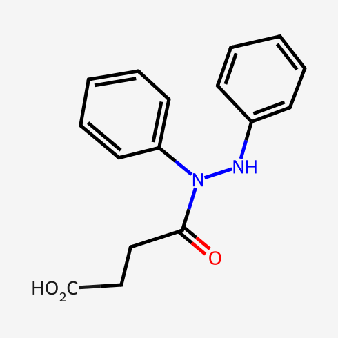 O=C(O)CCC(=O)N(Nc1ccccc1)c1ccccc1